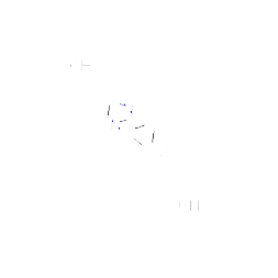 CCCCCCOc1ccc(-c2ncc(C3CCC(CC)CC3)cn2)cc1